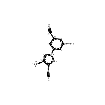 C#Cc1nn(-c2cc(F)cc(C#N)c2)cc1C